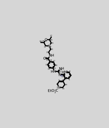 CCOC(=O)N1CC=C(c2ccc[nH]/c2=N\C(=N)Nc2ccc(C(=O)NCCN3CC(C)OC(C)C3)cc2)CC1